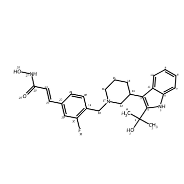 CC(C)(O)c1[nH]c2ccccc2c1C1CCCN(Cc2ccc(C=CC(=O)NO)cc2F)C1